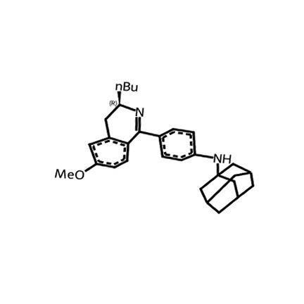 CCCC[C@@H]1Cc2cc(OC)ccc2C(c2ccc(NC34CC5CC(CC(C5)C3)C4)cc2)=N1